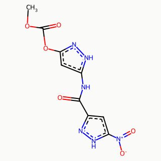 COC(=O)Oc1cc(NC(=O)c2cc([N+](=O)[O-])[nH]n2)[nH]n1